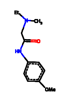 CCN(C)CC(=O)Nc1ccc(OC)cc1